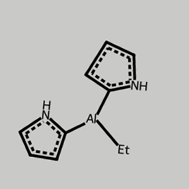 C[CH2][Al]([c]1ccc[nH]1)[c]1ccc[nH]1